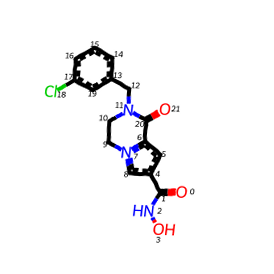 O=C(NO)c1cc2n(c1)CCN(Cc1cccc(Cl)c1)C2=O